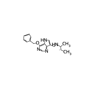 C[CH]C(C)NCc1c[nH]c2c(OCc3ccccc3)ncnc12